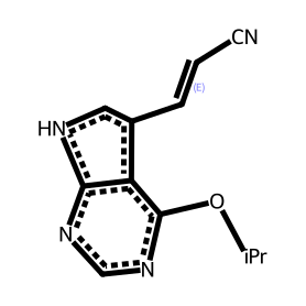 CC(C)Oc1ncnc2[nH]cc(/C=C/C#N)c12